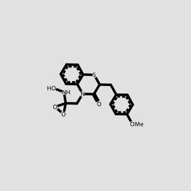 COc1ccc(CC2Sc3ccccc3N(CC3(NO)OO3)C2=O)cc1